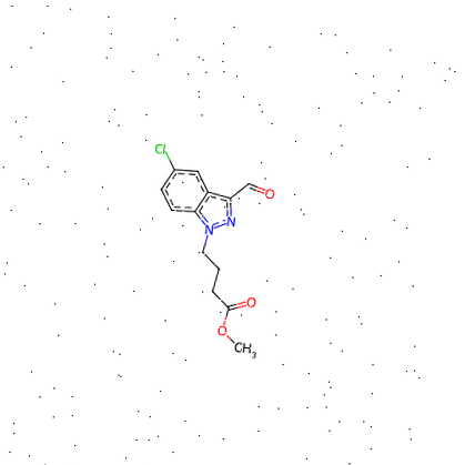 COC(=O)CCCn1nc(C=O)c2cc(Cl)ccc21